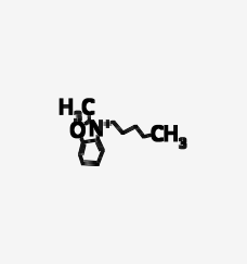 CCCCC[n+]1c(C)oc2ccccc21